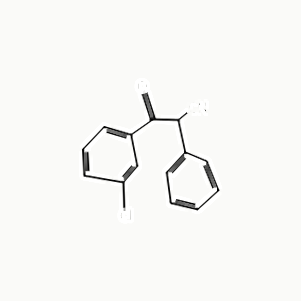 N#CC(C(=O)c1cccc(Cl)c1)c1ccccc1